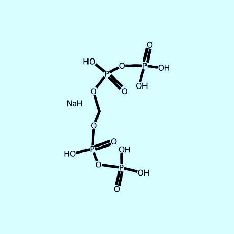 O=P(O)(O)OP(=O)(O)OCOP(=O)(O)OP(=O)(O)O.[NaH]